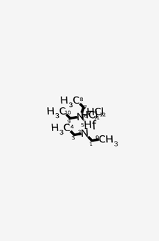 CC[N](CC)[Hf][N](CC)CC.Cl.Cl